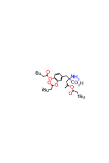 CCC(C)CC(=O)Oc1ccc(CC(N)(C[C@H](C)OC(=O)CC(C)(C)C)C(=O)O)cc1OC(=O)CC(C)CC